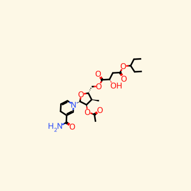 CCC(CC)OC(=O)C[C@H](O)C(=O)OC[C@H]1O[C@@H](N2C=CCC(C(N)=O)=C2)[C@H](OC(C)=O)[C@@H]1C